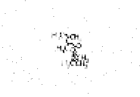 CCC(C)CC(C)CC(=O)OOOC(C)(C)C